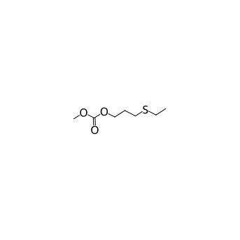 CCSCCCOC(=O)OC